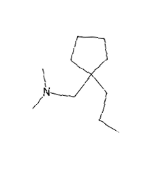 CCCC1(CN(C)C)CCCC1